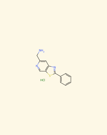 Cl.NCc1cc2nc(-c3ccccc3)sc2cn1